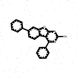 Oc1nc(-c2ccccc2)c2c(n1)oc1cc(-c3ccccc3)ccc12